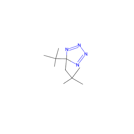 CC(C)(C)CC1(C(C)(C)C)N=NN=N1